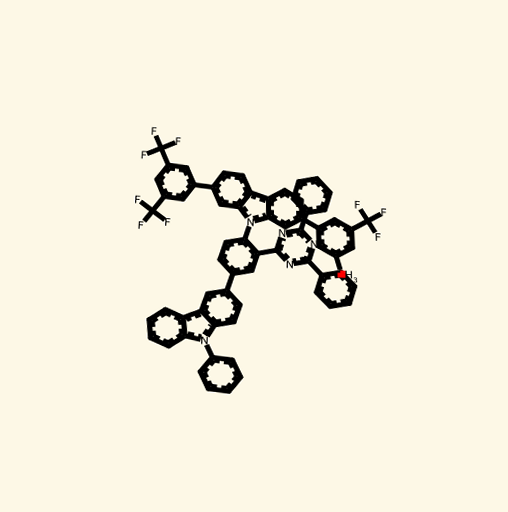 Cc1cc(-c2ccc3c4ccc(-c5cc(C(F)(F)F)cc(C(F)(F)F)c5)cc4n(-c4ccc(-c5ccc6c(c5)c5ccccc5n6-c5ccccc5)cc4-c4nc(-c5ccccc5)nc(-c5ccccc5)n4)c3c2)cc(C(F)(F)F)c1